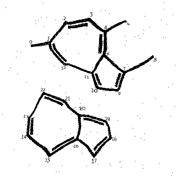 Cc1ccc(C)c2c(C)ccc-2c1.c1ccc2cccc-2cc1